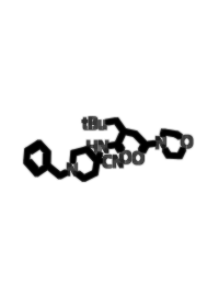 CC(C)(C)CC(CC(=O)N1CCOCC1)C(=O)NC1(C#N)CCN(Cc2ccccc2)CC1